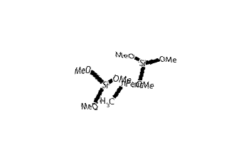 CCCCCC.CO[Si](OC)OC.CO[Si](OC)OC